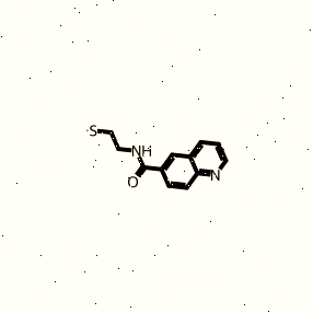 O=C(NCC[S])c1ccc2ncccc2c1